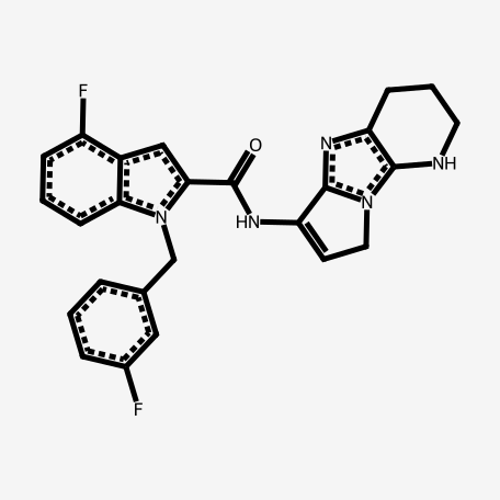 O=C(NC1=CCn2c1nc1c2NCCC1)c1cc2c(F)cccc2n1Cc1cccc(F)c1